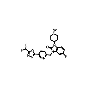 CC(=O)N1CCC(n2c(=O)n(Cc3ccc(-c4nnc(C(F)F)o4)cn3)c3cc(F)ccc32)CC1